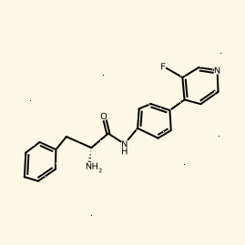 N[C@H](Cc1ccccc1)C(=O)Nc1ccc(-c2ccncc2F)cc1